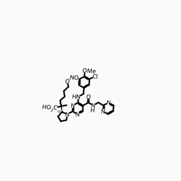 COc1ccc(CNc2nc(N3CCC[C@H]3C(C)(CCCCO[N+](=O)[O-])C(=O)O)ncc2C(=O)NCc2ncccn2)cc1Cl